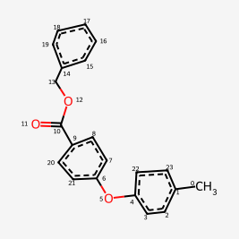 Cc1ccc(Oc2ccc(C(=O)OCc3ccccc3)cc2)cc1